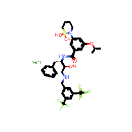 CC(C)Oc1cc(C(=O)N[C@@H](Cc2ccccc2)[C@@H](O)CNCc2cc(C(F)(F)F)cc(C(F)(F)F)c2)cc(N2CCCCS2(O)O)c1.Cl